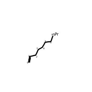 C=CCCC[CH]CCCC